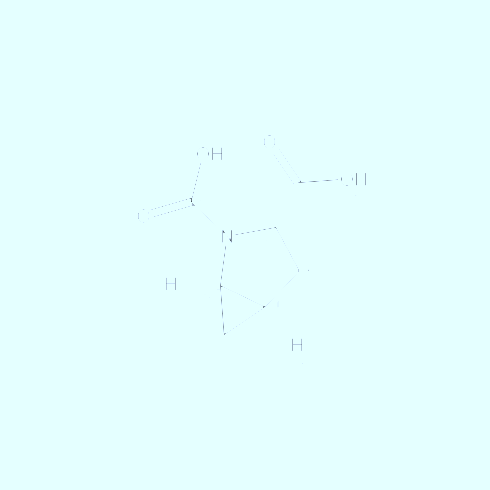 O=C(O)[C@@H]1C[C@H]2C[C@H]2N1C(=O)O